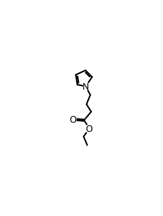 CCOC(=O)CCCn1cccc1